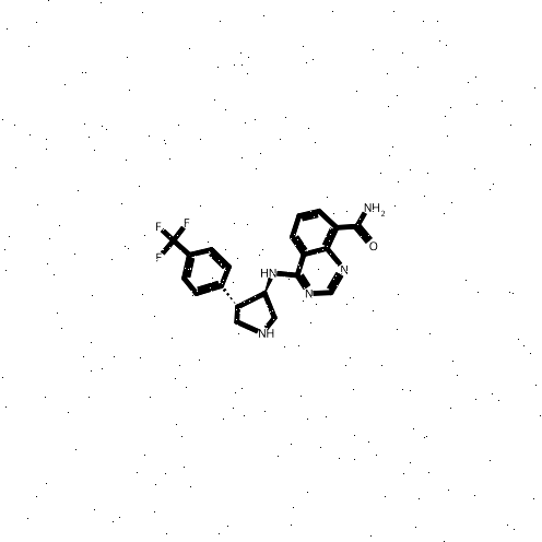 NC(=O)c1cccc2c(N[C@H]3CNC[C@@H]3c3ccc(C(F)(F)F)cc3)ncnc12